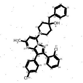 Cc1cc(N2CCC(O)(Cc3ccccc3)CC2)n2nc(-c3ccccc3Cl)c(-c3ccc(Cl)cc3)c2n1